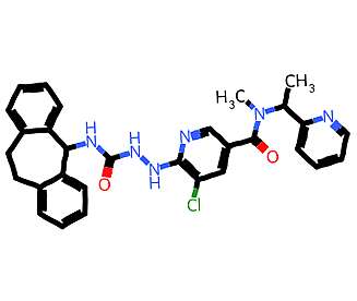 CC(c1ccccn1)N(C)C(=O)c1cnc(NNC(=O)NC2c3ccccc3CCc3ccccc32)c(Cl)c1